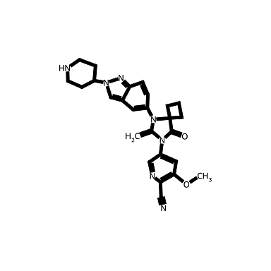 C=C1N(c2cnc(C#N)c(OC)c2)C(=O)C2(CCC2)N1c1ccc2nn(C3CCNCC3)cc2c1